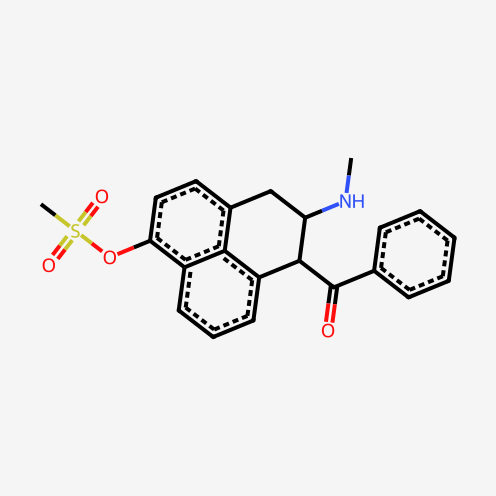 CNC1Cc2ccc(OS(C)(=O)=O)c3cccc(c23)C1C(=O)c1ccccc1